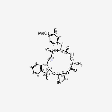 COc1ccc(C[C@H]2NC(=O)/C=C/C[C@@H]([C@@H](Cl)c3ccccc3)OC(=O)[C@H](CC(C)C)OC(=O)C(C)CNC2=O)cc1Cl